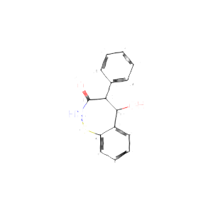 O=C1NSc2ccccc2C(O)C1c1ccccc1